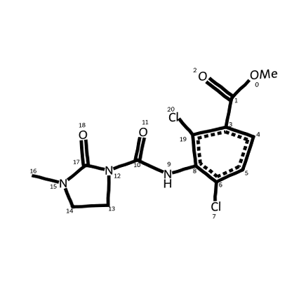 COC(=O)c1ccc(Cl)c(NC(=O)N2CCN(C)C2=O)c1Cl